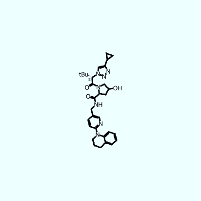 CC(C)(C)[C@@H](C(=O)N1CC(O)CC1C(=O)NCc1ccc(N2CCCc3ccccc32)nc1)n1cc(C2CC2)nn1